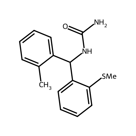 CSc1ccccc1C(NC(N)=O)c1ccccc1C